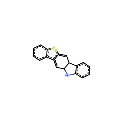 C1=c2sc3ccccc3c2=CC2Nc3ccccc3C12